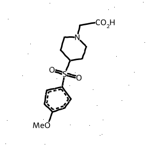 COc1ccc(S(=O)(=O)C2CCN(CC(=O)O)CC2)cc1